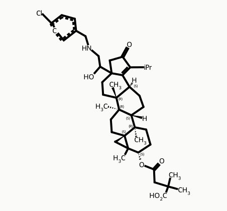 CC(C)C1=C2[C@H]3CC[C@@H]4[C@@]5(C)CC[C@H](OC(=O)CC(C)(C)C(=O)O)C6(C)C[C@]65CC[C@@]4(C)[C@]3(C)CCC2(C(O)CNCc2ccc(Cl)cc2)CC1=O